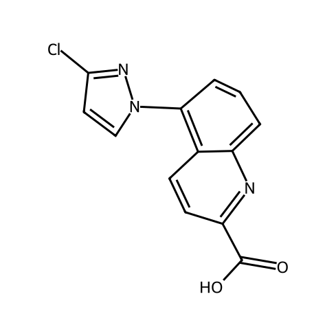 O=C(O)c1ccc2c(-n3ccc(Cl)n3)cccc2n1